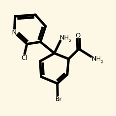 NC(=O)C1C=C(Br)C=CC1(N)c1cccnc1Cl